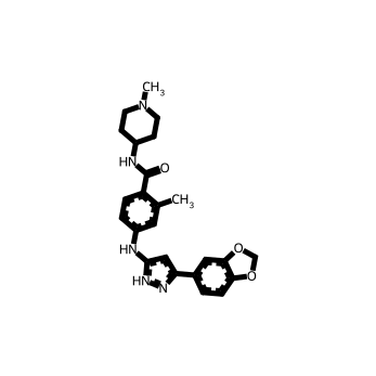 Cc1cc(Nc2cc(-c3ccc4c(c3)OCO4)n[nH]2)ccc1C(=O)NC1CCN(C)CC1